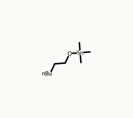 CCCCCC[O][Sn]([CH3])([CH3])[CH3]